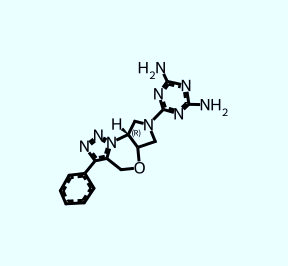 Nc1nc(N)nc(N2CC3OCc4c(-c5ccccc5)nnn4[C@@H]3C2)n1